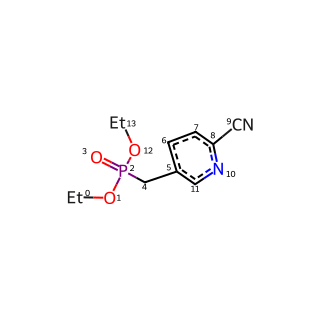 CCOP(=O)(Cc1ccc(C#N)nc1)OCC